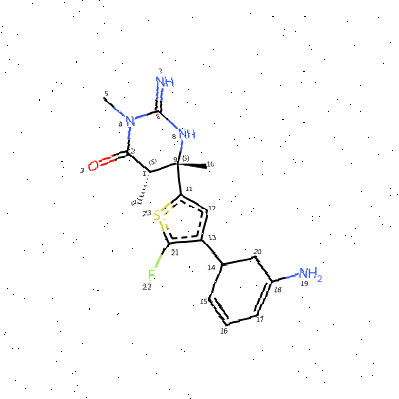 C[C@@H]1C(=O)N(C)C(=N)N[C@]1(C)c1cc(C2C=CC=C(N)C2)c(F)s1